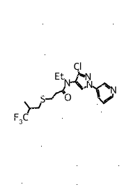 CCN(C(=O)CCSCC(C)C(F)(F)F)c1cn(-c2cccnc2)nc1Cl